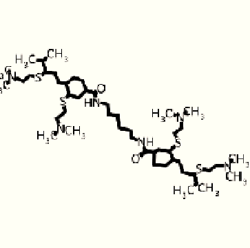 CC(C)C(CCC1CCC(C(=O)NCCCCCCNC(=O)C2CCC(CCC(SCCN(C)C)C(C)C)C(SCCN(C)C)C2)CC1SCCN(C)C)SCCN(C)C